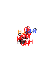 CC(=O)O[C@@]12CO[C@@H]1C[C@H](O)[C@@]1(C)C(=O)[C@H](O)C3=C(C)[C@@H](OC(=O)[C@H](OC(=O)CCCN4CCCCC4)[C@H](P)NC(=O)OC(C)(C)C)C[C@@](O)([C@@H](OC(=O)c4ccccc4)C12)C3(C)C